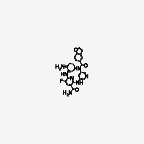 NC(=O)c1cc(F)c(N[C@@H]2CCCC[C@@H]2N)nc1Nc1cncc(NC(=O)c2ccc3occc3c2)c1